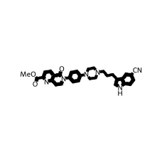 COC(=O)c1ccc2c(=O)n(-c3ccc(N4CCN(CCCc5c[nH]c6ccc(C#N)cc56)CC4)cc3)ccc2n1